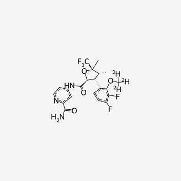 [2H]C([2H])([2H])Oc1c([C@@H]2[C@@H](C(=O)Nc3ccnc(C(N)=O)c3)O[C@@](C)(C(F)(F)F)[C@@H]2C)ccc(F)c1F